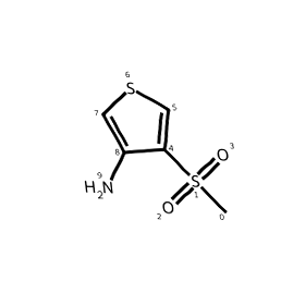 CS(=O)(=O)c1cscc1N